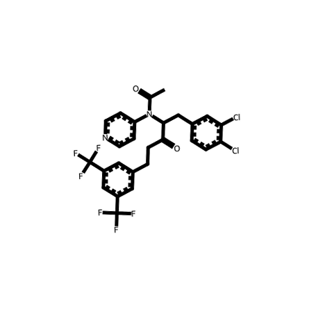 CC(=O)N(c1ccncc1)C(Cc1ccc(Cl)c(Cl)c1)C(=O)CCc1cc(C(F)(F)F)cc(C(F)(F)F)c1